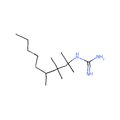 CCCCCC(C)C(C)(C)C(C)(C)NC(=N)N